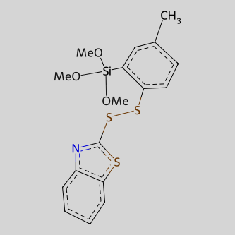 CO[Si](OC)(OC)c1cc(C)ccc1SSc1nc2ccccc2s1